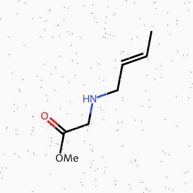 CC=CCNCC(=O)OC